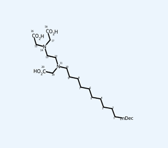 CCCCCCCCCCCCCCCCCCCCN(CCN(CC(=O)O)CC(=O)O)CC(=O)O